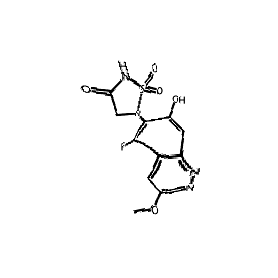 COc1cc2c(F)c(N3CC(=O)NS3(=O)=O)c(O)cc2nn1